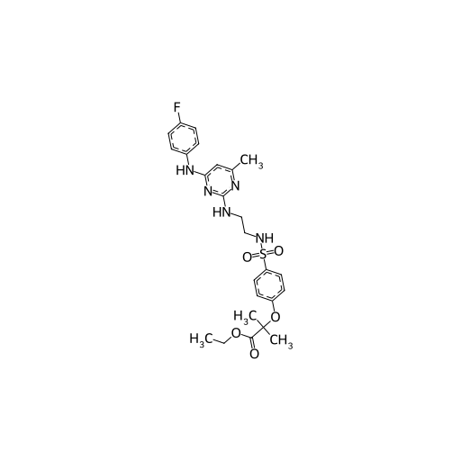 CCOC(=O)C(C)(C)Oc1ccc(S(=O)(=O)NCCNc2nc(C)cc(Nc3ccc(F)cc3)n2)cc1